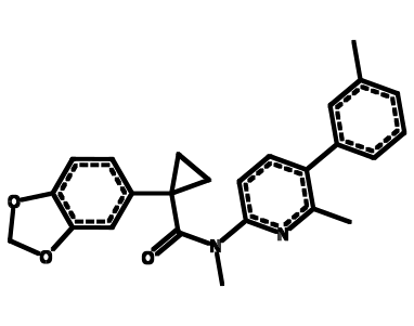 Cc1cccc(-c2ccc(N(C)C(=O)C3(c4ccc5c(c4)OCO5)CC3)nc2C)c1